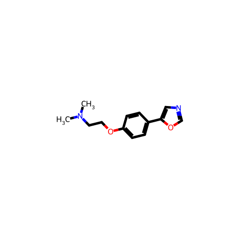 CN(C)CCOc1ccc(-c2cnco2)cc1